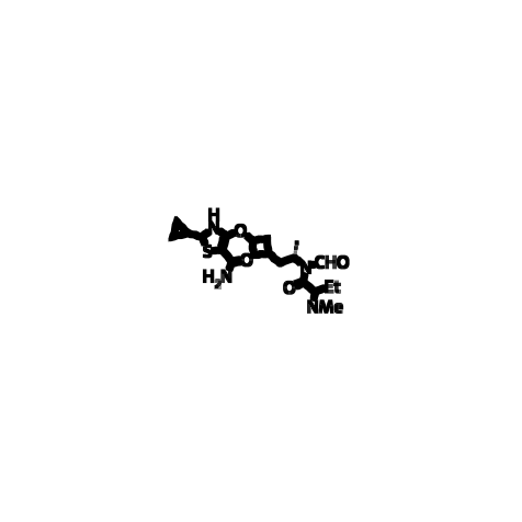 CCC(NC)C(=O)N(C=O)[C@@H](C)CC1CC(OC2=C(C(N)=O)SC(C3CC3)N2)C1